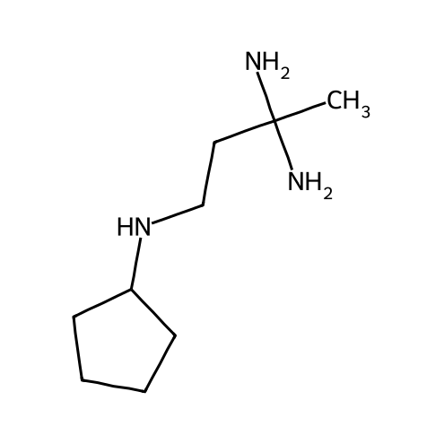 CC(N)(N)CCNC1CCCC1